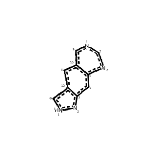 [c]1[nH]nc2cc3ncncc3cc12